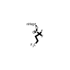 CCCCCCC[O][Sn](=[O])[C](F)(F)CCC(F)(F)F